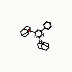 c1ccc(-c2cc(N3C4CC5CC(C4)CC3C5)nc(N3C4CC5CC(C4)CC3C5)n2)cc1